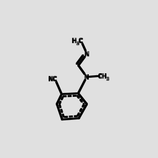 CN=CN(C)c1ccccc1C#N